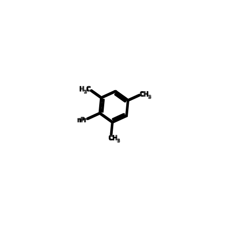 C[CH]Cc1c(C)cc(C)cc1C